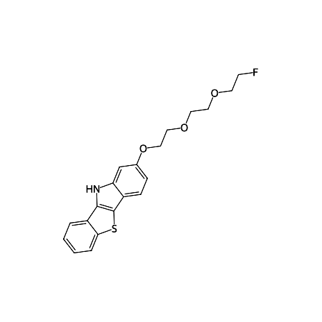 FCCOCCOCCOc1ccc2c(c1)[nH]c1c3ccccc3sc21